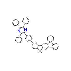 CC1(C)c2ccc(-c3ccc(-c4nc(-c5ccccc5)c(-c5ccccc5)nc4-c4ccccc4)cc3)cc2-c2cc3c(cc21)-c1ccccc1C31CCCCC1